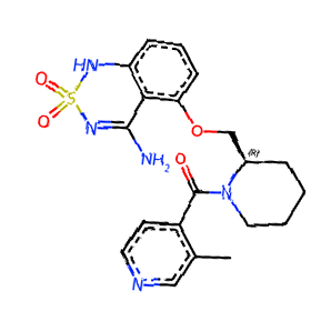 Cc1cnccc1C(=O)N1CCCC[C@@H]1COc1cccc2c1C(N)=NS(=O)(=O)N2